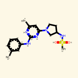 CCCc1cc(N2CCC(NS(=O)(=O)CCC)C2)nc(Nc2cccc(C#N)c2)n1